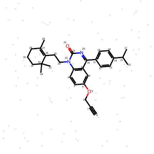 C#CCOc1ccc2c(c1)c(-c1ccc(C(C)C)cc1)nc(=O)n2CCC1=C(C)CCCC1(C)C